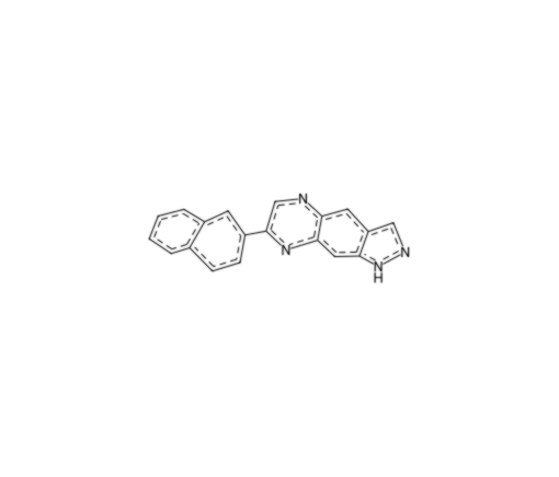 c1ccc2cc(-c3cnc4cc5cn[nH]c5cc4n3)ccc2c1